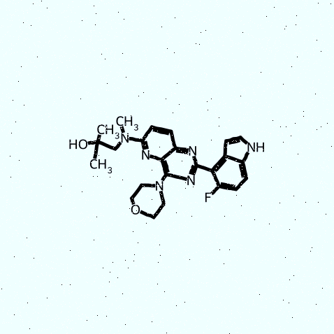 CN(CC(C)(C)O)c1ccc2nc(-c3c(F)ccc4[nH]ccc34)nc(N3CCOCC3)c2n1